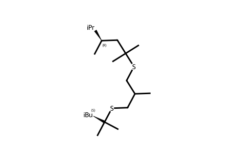 CC[C@H](C)C(C)(C)SCC(C)CSC(C)(C)C[C@@H](C)C(C)C